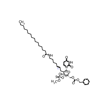 CCCCCCCCCCCCCCCC(=O)NCCCC/C=C/CC1[C@@H](OP(O)(=S)OC)[C@@H](COC(=O)OCc2ccccc2)O[C@H]1n1ccc(=O)[nH]c1=O